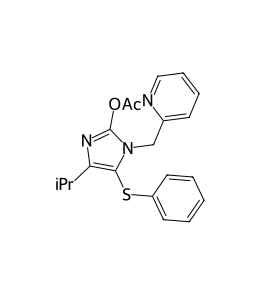 CC(=O)Oc1nc(C(C)C)c(Sc2ccccc2)n1Cc1ccccn1